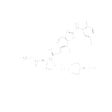 CON(C)C[C@@H]1CC[C@@H](CO[C@H]2CC[C@H](C(=O)O)CC2)N1C(=O)Cc1ccc2nc(Nc3cc(F)ccc3C)oc2c1F